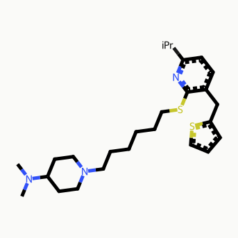 CC(C)c1ccc(Cc2cccs2)c(SCCCCCCN2CCC(N(C)C)CC2)n1